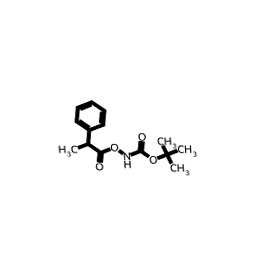 CC(C(=O)ONC(=O)OC(C)(C)C)c1ccccc1